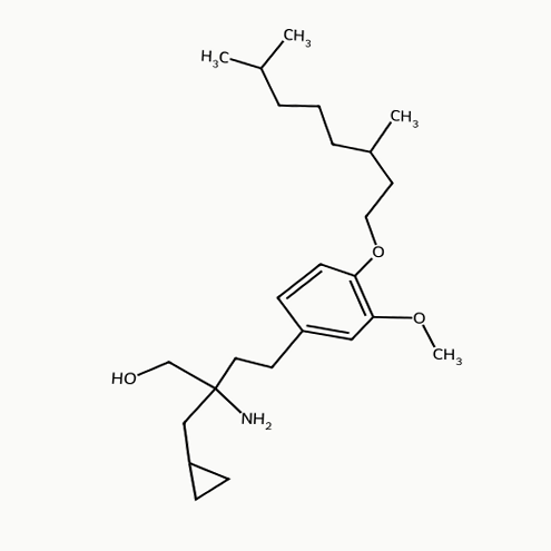 COc1cc(CCC(N)(CO)CC2CC2)ccc1OCCC(C)CCCC(C)C